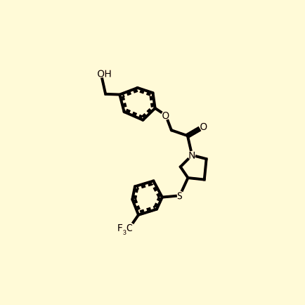 O=C(COc1ccc(CO)cc1)N1CCC(Sc2cccc(C(F)(F)F)c2)C1